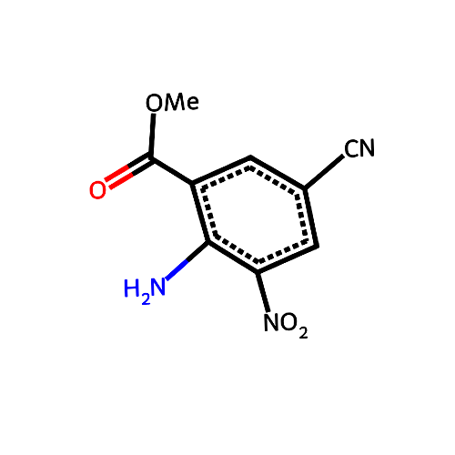 COC(=O)c1cc(C#N)cc([N+](=O)[O-])c1N